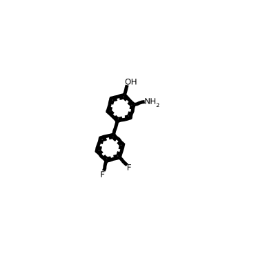 Nc1cc(-c2ccc(F)c(F)c2)ccc1O